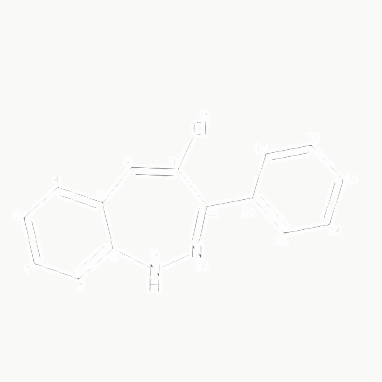 ClC1=Cc2ccccc2NN=C1c1ccccc1